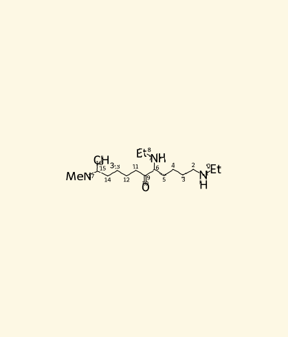 CCNCCCCC(NCC)C(=O)CCCCC(C)NC